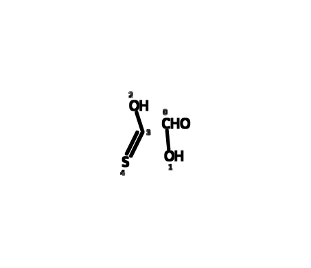 O=CO.OC=S